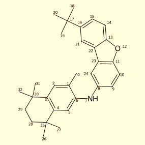 Cc1cc2c(cc1Nc1ccc3oc4ccc(C(C)(C)C)cc4c3c1)C(C)(C)CCC2(C)C